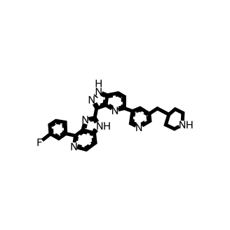 Fc1cccc(-c2nccc3[nH]c(-c4n[nH]c5ccc(-c6cncc(CC7CCNCC7)c6)nc45)nc23)c1